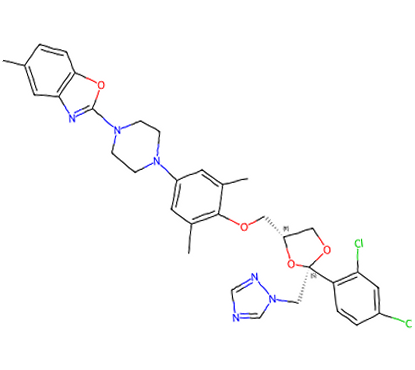 Cc1ccc2oc(N3CCN(c4cc(C)c(OC[C@@H]5CO[C@@](Cn6cncn6)(c6ccc(Cl)cc6Cl)O5)c(C)c4)CC3)nc2c1